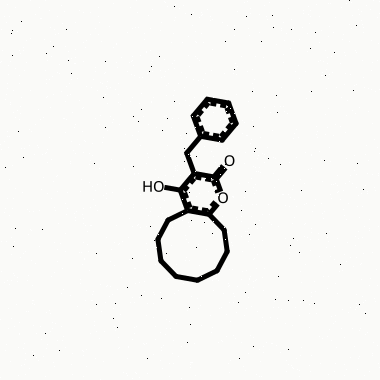 O=c1oc2c(c(O)c1Cc1ccccc1)CCCCCCCC2